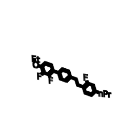 CCCc1ccc(CCc2ccc(-c3ccc(OCC)c(F)c3F)cc2)c(F)c1